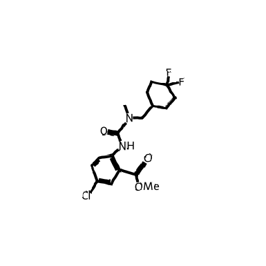 COC(=O)c1cc(Cl)ccc1NC(=O)N(C)CC1CCC(F)(F)CC1